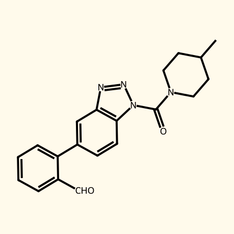 CC1CCN(C(=O)n2nnc3cc(-c4ccccc4C=O)ccc32)CC1